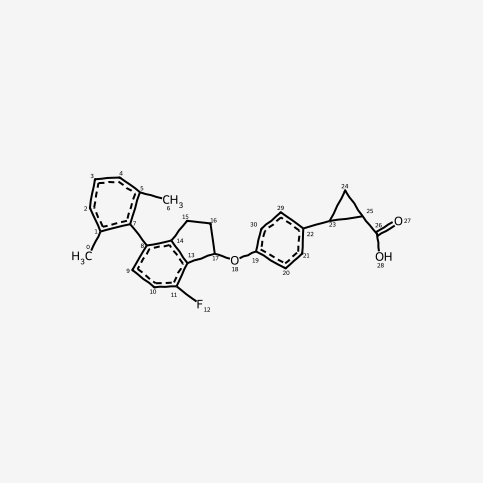 Cc1cccc(C)c1-c1ccc(F)c2c1CCC2Oc1ccc(C2CC2C(=O)O)cc1